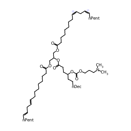 CCCCCC=CCC=CCCCCCCCC(=O)OCC(COC(=O)CCCCCCC/C=C\C/C=C\CCCCC)OC(=O)CCC(CCCCCCCCCCCC)OC(=O)OCCCN(C)C